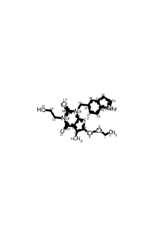 CCOOc1sc2c(c1C)c(=O)n(CCO)c(=O)n2Cc1ccc2[nH]ccc2c1